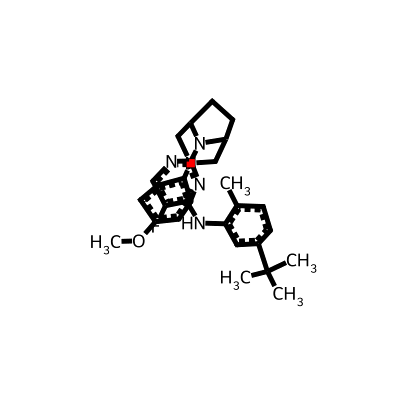 COc1ccc(N2CC3CCC(C2)N3c2ncc(F)c(Nc3cc(C(C)(C)C)ccc3C)n2)cc1